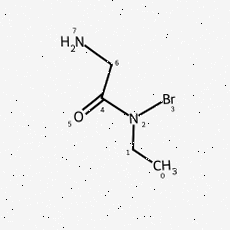 CCN(Br)C(=O)CN